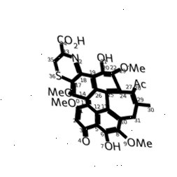 COC1=CC(=O)c2c(O)c(OC)c3c4c2c1c1c(OC)c2c(c5c(O)c(OC)c(c4c15)C(C(C)=O)=C(C)C3)=NC(C(=O)O)CS2